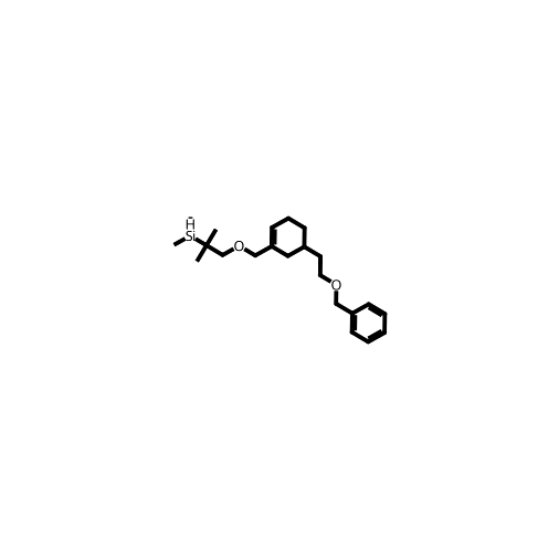 C[SiH](C)C(C)(C)COCC1=CCCC(CCOCc2ccccc2)C1